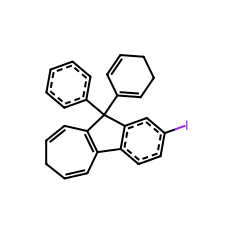 Ic1ccc2c(c1)C(C1=CCCC=C1)(c1ccccc1)C1=C2C=CCC=C1